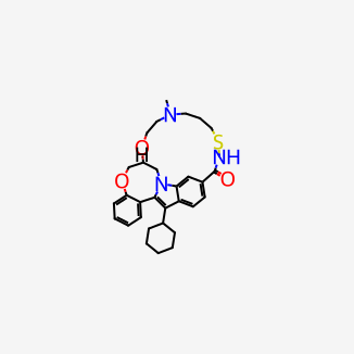 CN1CCCSNC(=O)c2ccc3c(C4CCCCC4)c4n(c3c2)C[C@@H](COc2ccccc2-4)OCC1